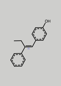 CC/C(=C\c1ccc(O)cc1)c1ccccc1